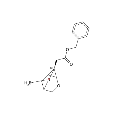 BN1C[C@]2(CC(=O)OCc3ccccc3)C3CC1COC32